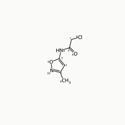 Cc1cc(NC(=O)CCl)on1